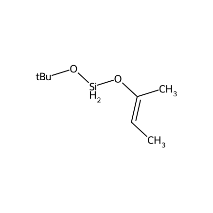 CC=C(C)O[SiH2]OC(C)(C)C